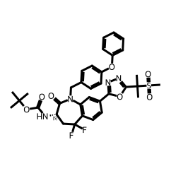 CC(C)(C)OC(=O)N[C@H]1CC(F)(F)c2ccc(-c3nnc(C(C)(C)S(C)(=O)=O)o3)cc2N(Cc2ccc(Oc3ccccc3)cc2)C1=O